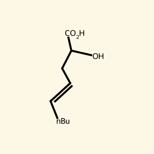 CCCCC=CCC(O)C(=O)O